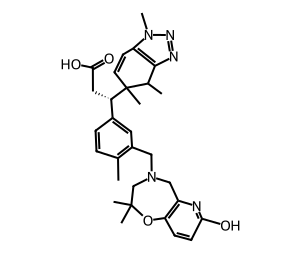 Cc1ccc([C@H](CC(=O)O)C2(C)C=Cc3c(nnn3C)C2C)cc1CN1Cc2nc(O)ccc2OC(C)(C)C1